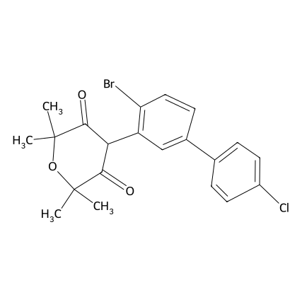 CC1(C)OC(C)(C)C(=O)C(c2cc(-c3ccc(Cl)cc3)ccc2Br)C1=O